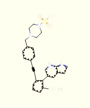 CS(=O)(=O)N1CCN(Cc2ccc(C#Cc3cccc(C(=O)O)c3-c3cnc4[nH]ccc4c3)cc2)CC1